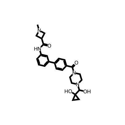 CN1CC(C(=O)Nc2cccc(-c3ccc(C(=O)N4CCN(C(O)C5(O)CC5)CC4)cc3)c2)C1